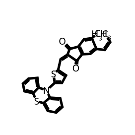 C/C=C\c1cc2c(cc1C)C(=O)/C(=C/c1ccc(N3c4ccccc4Sc4ccccc43)s1)C2=O